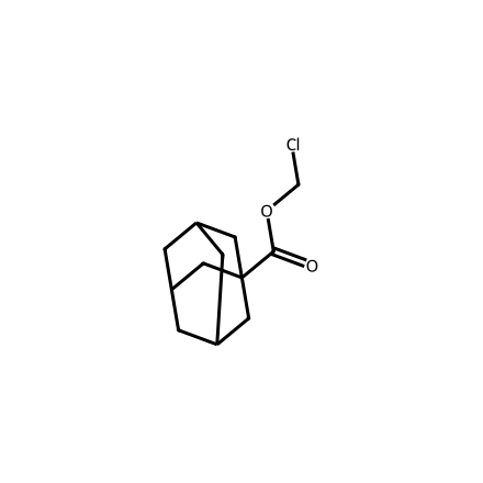 O=C(OCCl)C12CC3CC(CC(C3)C1)C2